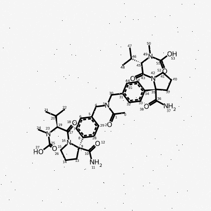 CC(=O)N(Cc1ccc([C@]2(C(N)=O)CCCN2C(=O)[C@H](C(C)C)N(C)C(=O)O)cc1)Cc1ccc([C@]2(C(N)=O)CCCN2C(=O)[C@H](C(C)C)N(C)C(=O)O)cc1